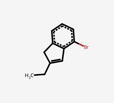 CCC1=Cc2c(Br)cccc2C1